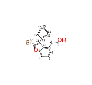 OCCc1cccc2oc(Br)c(-c3ccccc3)c12